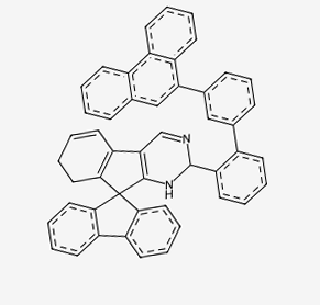 C1=CC2=C(CC1)C1(C3=C2C=NC(c2ccccc2-c2cccc(-c4cc5ccccc5c5ccccc45)c2)N3)c2ccccc2-c2ccccc21